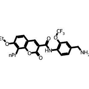 CCCc1c(OCC)ccc2cc(C(=O)Nc3ccc(CN)cc3OC(F)(F)F)c(=O)oc12